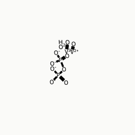 O.O=P([O-])([O-])OP(=O)([O-])[O-].[O]=[V+2].[O]=[V+2]